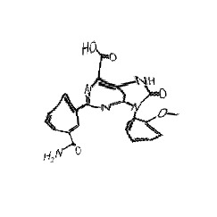 COc1ccccc1-n1c(=O)[nH]c2c(C(=O)O)nc(-c3cccc(C(N)=O)c3)nc21